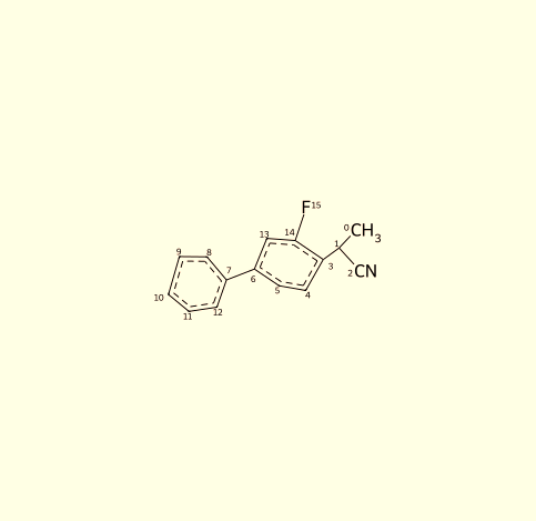 CC(C#N)c1ccc(-c2ccccc2)cc1F